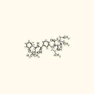 CCC[C@H](c1cccc(C(=O)N[C@@H]2c3ccccc3OC(C)(C)[C@H]2O)c1)N1C(=N)NC(CC)(CC)CC1=O